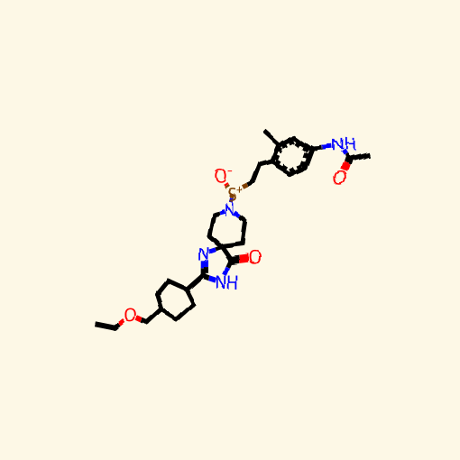 CCOCC1CCC(C2=NC3(CCN([S+]([O-])CCc4ccc(NC(C)=O)cc4C)CC3)C(=O)N2)CC1